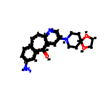 Nc1ccc2ccc3ncc(N4CCC5(CC4)OCCO5)cc3c(=O)c2c1